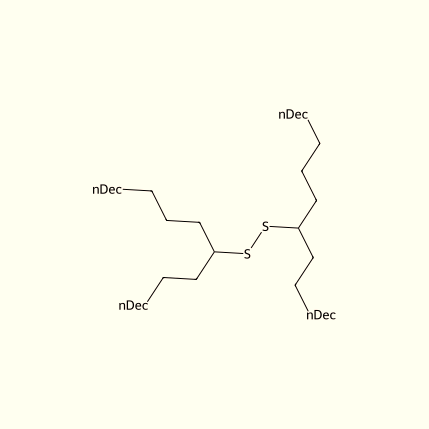 CCCCCCCCCCCCCC(CCCCCCCCCCCC)SSC(CCCCCCCCCCCC)CCCCCCCCCCCCC